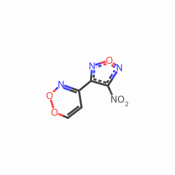 O=[N+]([O-])c1nonc1C1=NOOC=C1